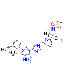 C#Cc1cccc(-c2nc(N)c(F)c(-c3cn(Cc4cccc(C(C)(C)CNS(C)(=O)=O)n4)nn3)n2)c1C